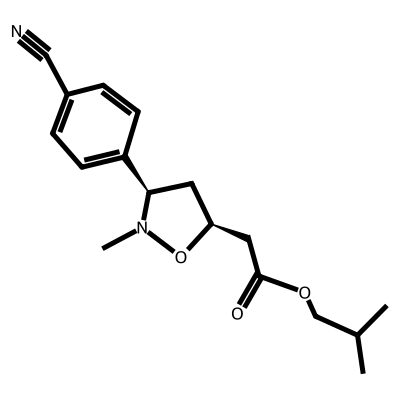 CC(C)COC(=O)C[C@@H]1C[C@H](c2ccc(C#N)cc2)N(C)O1